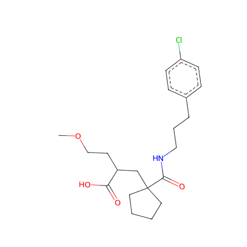 COCCC(CC1(C(=O)NCCCc2ccc(Cl)cc2)CCCC1)C(=O)O